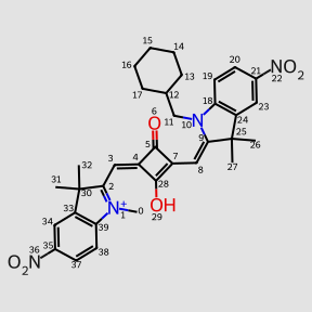 C[N+]1=C(/C=C2/C(=O)C(/C=C3\N(CC4CCCCC4)c4ccc([N+](=O)[O-])cc4C3(C)C)=C2O)C(C)(C)c2cc([N+](=O)[O-])ccc21